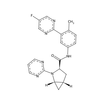 Cc1ccc(NC(=O)[C@H]2C[C@@H]3C[C@@H]3N2c2ncccn2)cc1-c1ncc(F)cn1